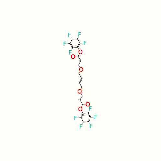 O=C(CCOCC=CCOCCC(=O)Oc1c(F)c(F)c(F)c(F)c1F)Oc1c(F)c(F)c(F)c(F)c1F